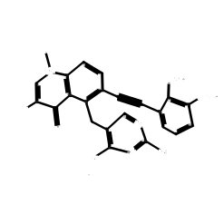 CCn1cc(C(=O)O)c(=O)c2c(Cc3cnc(N)nc3N)c(C#Cc3cccc(OC)c3OC)ccc21.Cl